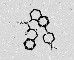 CCCN1CCN(c2ccc3c(c2)C(N(C)C(=O)OCc2ccccc2)CCC3)CC1